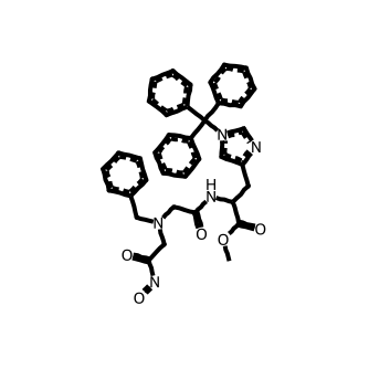 COC(=O)C(Cc1cn(C(c2ccccc2)(c2ccccc2)c2ccccc2)cn1)NC(=O)CN(CC(=O)N=O)Cc1ccccc1